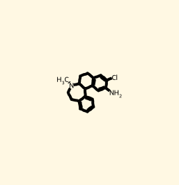 CN1CCc2ccccc2C2c3cc(N)c(Cl)cc3CCC21